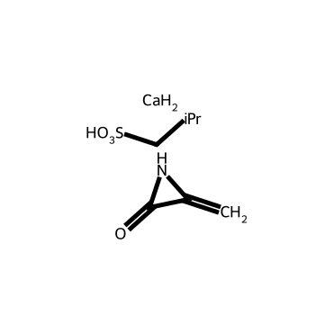 C=C1NC1=O.CC(C)CS(=O)(=O)O.[CaH2]